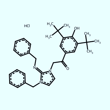 CC(C)(C)c1cc(C(=O)Cn2ccn(Cc3ccccc3)c2=NCc2ccccc2)cc(C(C)(C)C)c1O.Cl